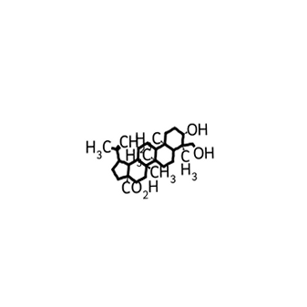 C=C(C)C1CC[C@]2(C(=O)O)CC[C@]3(C)C(CCC4[C@@]5(C)CC[C@H](O)[C@@](C)(CO)C5CC[C@]43C)C12